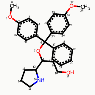 COc1ccc(C(OC(CCO)C2CCCN2)(c2ccccc2)c2ccc(OC)cc2)cc1